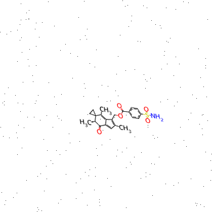 CC1=C(COC(=O)c2ccc(S(N)(=O)=O)cc2)C2=C(C)C3(CC3)[C@H](C)C(=O)C2=C1